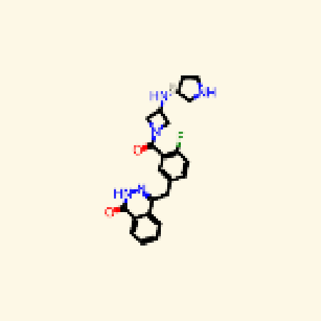 O=C(c1cc(Cc2n[nH]c(=O)c3ccccc23)ccc1F)N1CC(N[C@@H]2CCNC2)C1